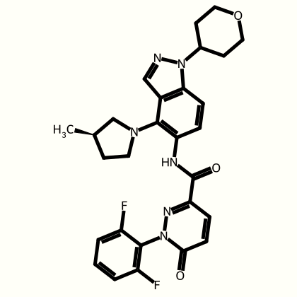 C[C@@H]1CCN(c2c(NC(=O)c3ccc(=O)n(-c4c(F)cccc4F)n3)ccc3c2cnn3C2CCOCC2)C1